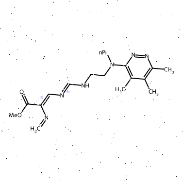 C=N/C(=C\N=C\NCCN(CCC)c1nnc(C)c(C)c1C)C(=O)OC